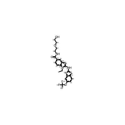 CCn1c(Nc2nc3cc(OC(F)(F)F)ccc3s2)nc2cc(C(=O)NCCOCCO)ccc21